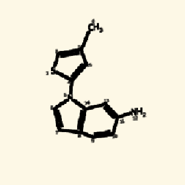 Cc1csc(-n2ccc3ccc(N)cc32)c1